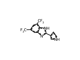 FC(F)(F)c1cc(C(F)(F)F)c2[nH]c(-c3cc[nH]c3)nc2c1